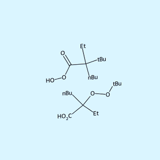 CCCCC(CC)(C(=O)OO)C(C)(C)C.CCCCC(CC)(OOC(C)(C)C)C(=O)O